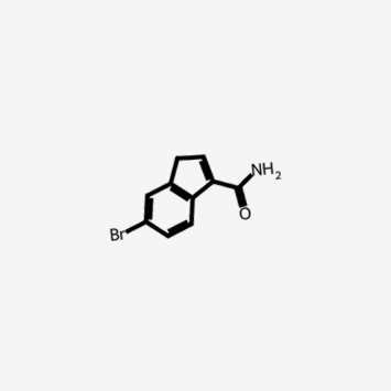 NC(=O)C1=CCc2cc(Br)ccc21